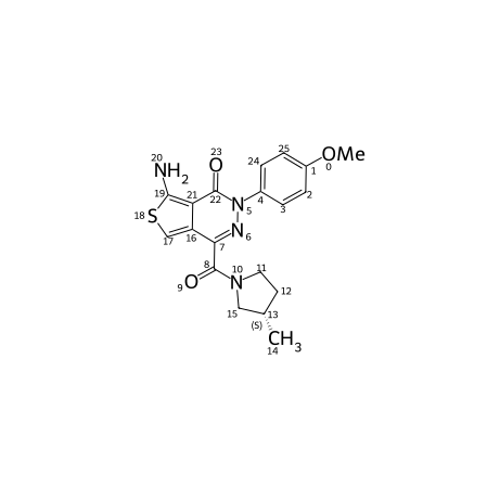 COc1ccc(-n2nc(C(=O)N3CC[C@H](C)C3)c3csc(N)c3c2=O)cc1